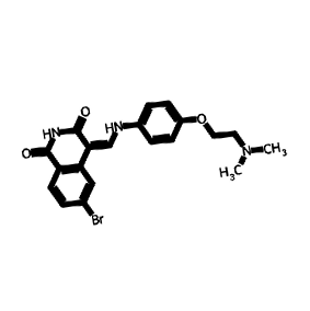 CN(C)CCOc1ccc(NC=C2C(=O)NC(=O)c3ccc(Br)cc32)cc1